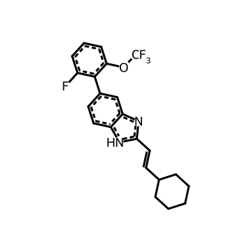 Fc1cccc(OC(F)(F)F)c1-c1ccc2[nH]c(C=CC3CCCCC3)nc2c1